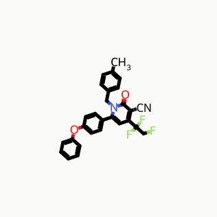 Cc1ccc(Cn2c(-c3ccc(Oc4ccccc4)cc3)cc(C(F)(F)CF)c(C#N)c2=O)cc1